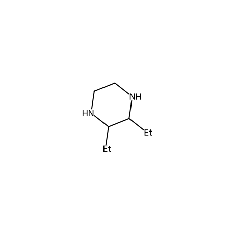 CCC1NCCNC1CC